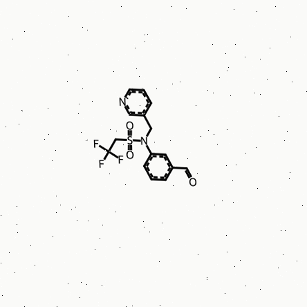 O=Cc1cccc(N(Cc2cccnc2)S(=O)(=O)CC(F)(F)F)c1